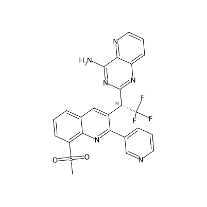 CS(=O)(=O)c1cccc2cc([C@H](c3nc(N)c4ncccc4n3)C(F)(F)F)c(-c3cccnc3)nc12